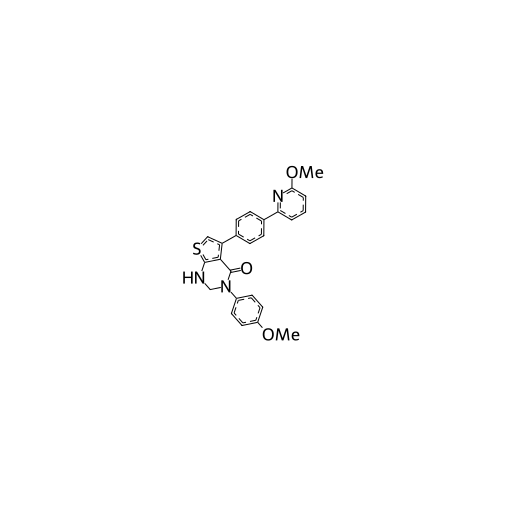 COc1ccc(N2CNc3scc(-c4ccc(-c5cccc(OC)n5)cc4)c3C2=O)cc1